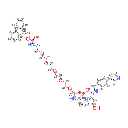 Cc1ncsc1-c1ccc(CNC(=O)[C@@H]2C[C@@H](O)CN2C(=O)[C@@H](NC(=O)COCCOCCOCCOCCOCCNC(=O)OCC2c3ccccc3-c3ccccc32)C(C)(C)C)cc1